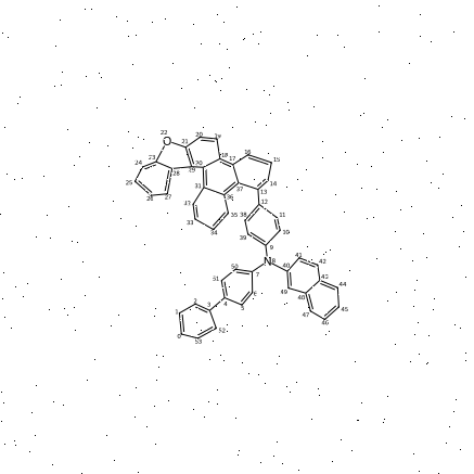 c1ccc(-c2ccc(N(c3ccc(-c4cccc5c6ccc7oc8ccccc8c7c6c6ccccc6c45)cc3)c3ccc4ccccc4c3)cc2)cc1